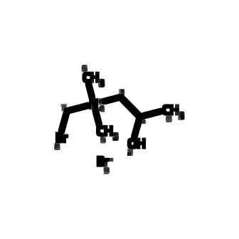 CC(O)C[N+](C)(C)CBr.[Br-]